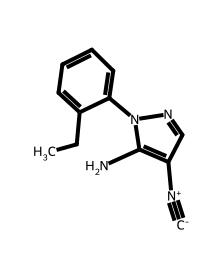 [C-]#[N+]c1cnn(-c2ccccc2CC)c1N